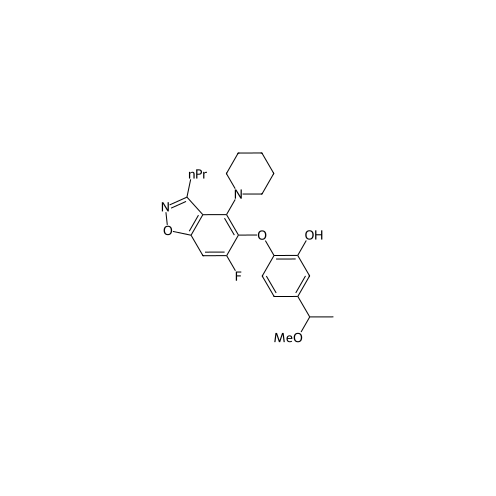 CCCc1noc2cc(F)c(Oc3ccc(C(C)OC)cc3O)c(N3CCCCC3)c12